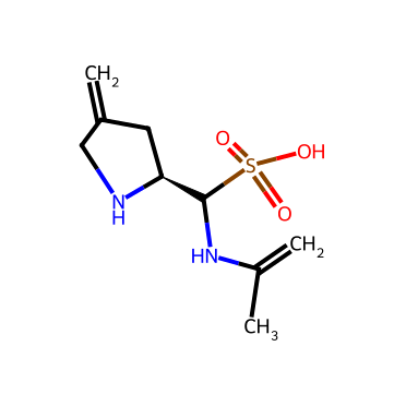 C=C1CN[C@H](C(NC(=C)C)S(=O)(=O)O)C1